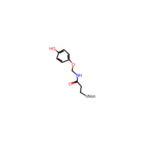 CCCCCCCCCCCC(=O)NCOc1ccc(O)cc1